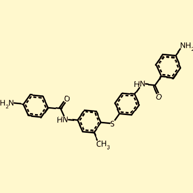 Cc1cc(NC(=O)c2ccc(N)cc2)ccc1Sc1ccc(NC(=O)c2ccc(N)cc2)cc1